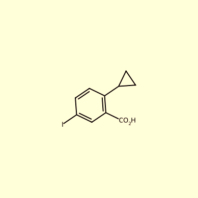 O=C(O)c1cc(I)ccc1C1CC1